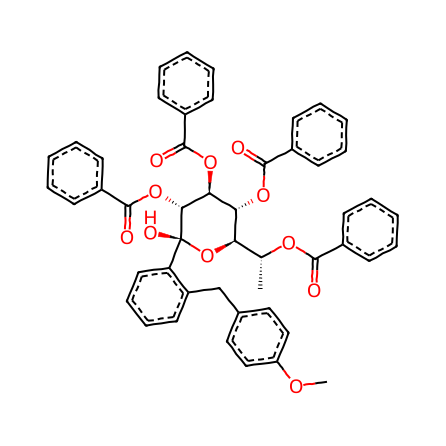 COc1ccc(Cc2ccccc2[C@@]2(O)O[C@H]([C@@H](C)OC(=O)c3ccccc3)[C@@H](OC(=O)c3ccccc3)[C@H](OC(=O)c3ccccc3)[C@H]2OC(=O)c2ccccc2)cc1